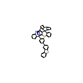 c1ccc2c(c1)Sc1ccccc1C21c2ccccc2-c2cccc(-c3nc(-c4ccc(-c5ccc6sc7ccccc7c6c5)cc4)c4ccccc4n3)c21